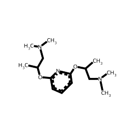 CC(CN(C)C)Oc1cccc(OC(C)CN(C)C)n1